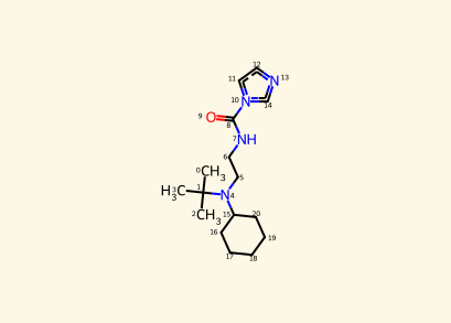 CC(C)(C)N(CCNC(=O)n1ccnc1)C1CCCCC1